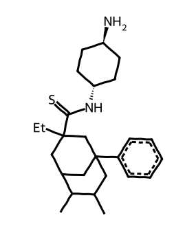 CCC1(C(=S)N[C@H]2CC[C@H](N)CC2)CC2CC(c3ccccc3)(CC(C)C2C)C1